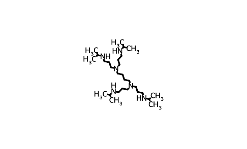 CC(C)NCCCN(CCCCN(CCCNC(C)C)CCCNC(C)C)CCCNC(C)C